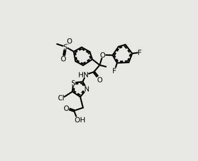 CC(Oc1ccc(F)cc1F)(C(=O)Nc1nc(CC(=O)O)c(Cl)s1)c1ccc(S(C)(=O)=O)cc1